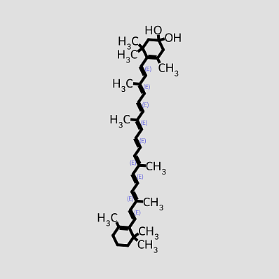 CC1=C(/C=C/C(C)=C/C=C/C(C)=C/C=C/C=C(C)/C=C/C=C(C)/C=C/C2=C(C)CC(O)(O)CC2(C)C)C(C)(C)CCC1